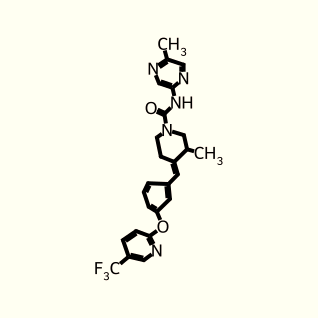 Cc1cnc(NC(=O)N2CCC(=Cc3cccc(Oc4ccc(C(F)(F)F)cn4)c3)C(C)C2)cn1